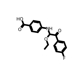 CCOC(Nc1ccc(C(=O)O)cc1)C(=O)c1ccc(F)cc1